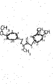 COc1ccc(CCC(C)NCc2ccc(C)c(C)c2)cc1